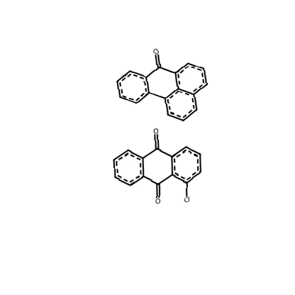 O=C1c2ccccc2-c2cccc3cccc1c23.O=C1c2ccccc2C(=O)c2c(Cl)cccc21